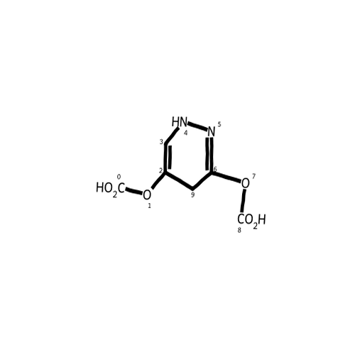 O=C(O)OC1=CNN=C(OC(=O)O)C1